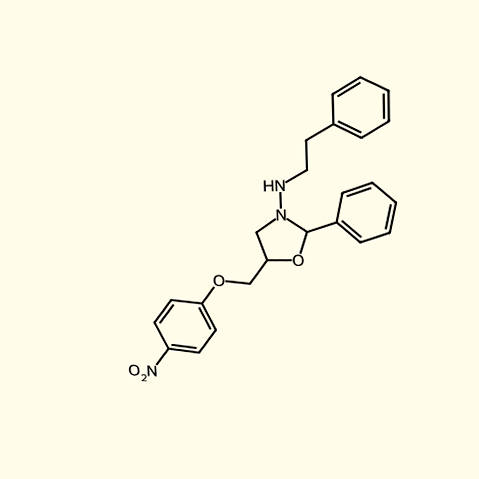 O=[N+]([O-])c1ccc(OCC2CN(NCCc3ccccc3)C(c3ccccc3)O2)cc1